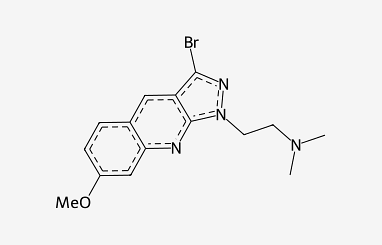 COc1ccc2cc3c(Br)nn(CCN(C)C)c3nc2c1